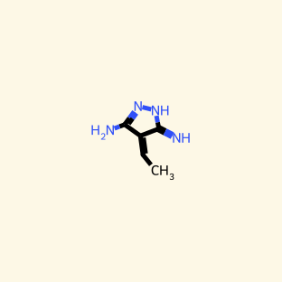 C/C=C1\C(=N)NN=C1N